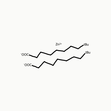 CC(C)(C)CCCCCCCC(=O)[O-].CC(C)(C)CCCCCCCC(=O)[O-].[Zn+2]